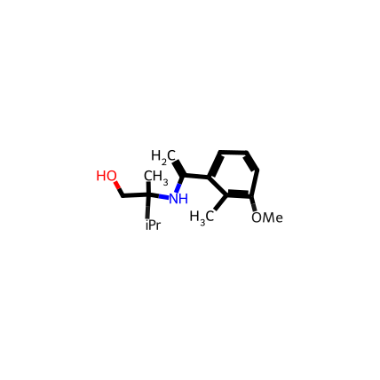 C=C(NC(C)(CO)C(C)C)c1cccc(OC)c1C